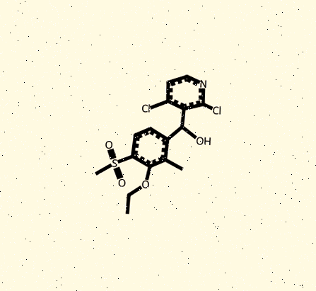 CCOc1c(S(C)(=O)=O)ccc(C(O)c2c(Cl)ccnc2Cl)c1C